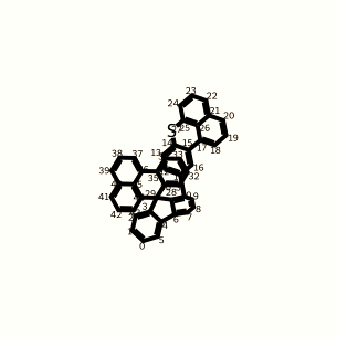 c1ccc2c(c1)-c1cccc(-c3ccc4c(c3)-c3cccc5cccc(c35)S4)c1C21c2ccccc2-c2cccc3cccc1c23